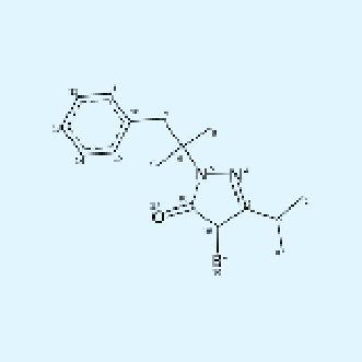 CC(C)C1=NN(C(C)(C)Cc2ccccc2)C(=O)C1Br